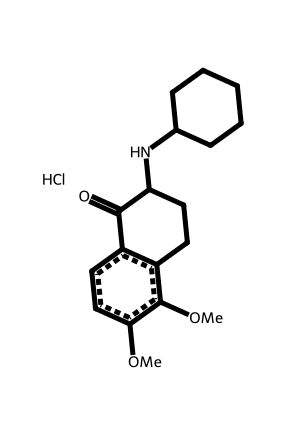 COc1ccc2c(c1OC)CCC(NC1CCCCC1)C2=O.Cl